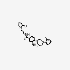 Cc1ccccc1N1CCCN(c2ccc(C(=O)NCCCN3CCCC3=O)cc2N)CC1